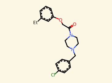 CCc1cccc(OCC(=O)N2CCN(Cc3ccc(Cl)cc3)CC2)c1